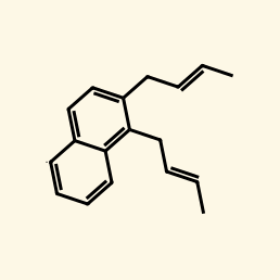 CC=CCc1ccc2[c]cccc2c1CC=CC